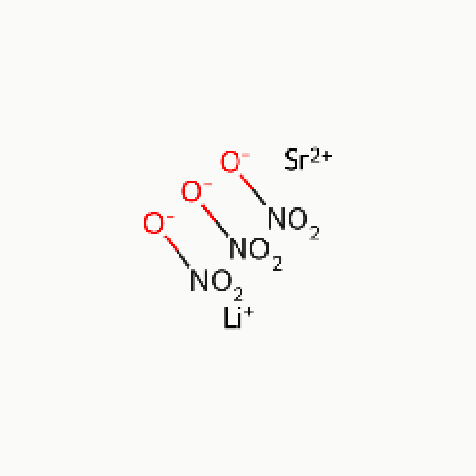 O=[N+]([O-])[O-].O=[N+]([O-])[O-].O=[N+]([O-])[O-].[Li+].[Sr+2]